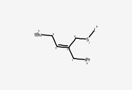 CC(C)C/C(=C/CC(C)(C)C)CSI